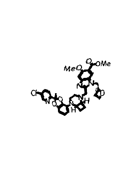 COC(=O)c1cc2c(cc1OC)nc(CN1CCN(c3cccc4c3OC(C)(c3ccc(Cl)cn3)O4)[C@@H]3CC[C@H]31)n2C[C@@H]1CCO1